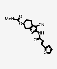 CNC(=O)OC1CCc2c(sc(NC(=O)C=Cc3ccco3)c2C#N)C1